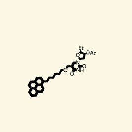 CC[C@H]1O[C@@H](n2cc(COCCCCCCc3ccc4ccc5cccc6ccc3c4c56)c(=O)[nH]c2=O)C[C@@H]1OC(C)=O